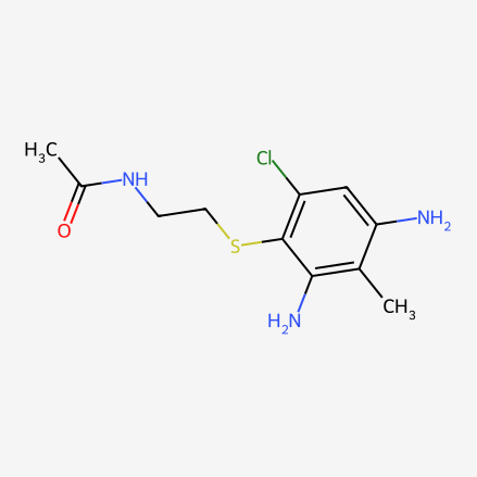 CC(=O)NCCSc1c(Cl)cc(N)c(C)c1N